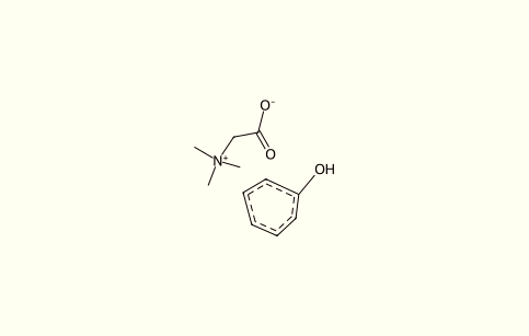 C[N+](C)(C)CC(=O)[O-].Oc1ccccc1